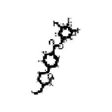 CCC1CCC(c2ccc(C(=O)Oc3cc(F)c(F)c(F)c3)cc2)OC1